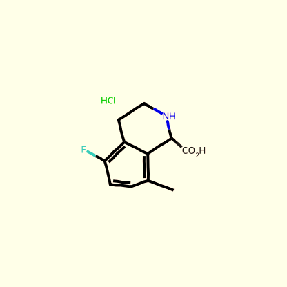 Cc1ccc(F)c2c1C(C(=O)O)NCC2.Cl